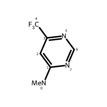 CNc1cc(C(F)(F)F)ncn1